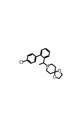 CC(c1ccccc1-c1ccc(Cl)cc1)N1CCC2(CC1)OCCO2